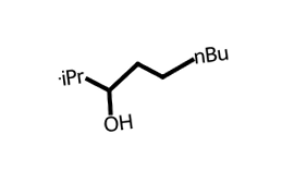 CCCCCCC(O)[C](C)C